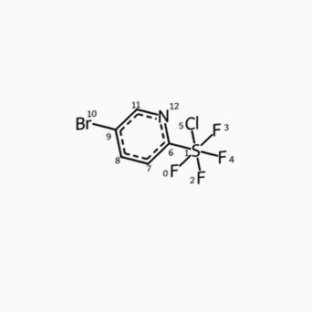 FS(F)(F)(F)(Cl)c1ccc(Br)cn1